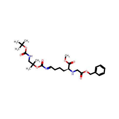 COC(=O)[C@H](CCCC=NC(=O)OC(C)(C)CNC(=O)OC(C)(C)C)NCC(=O)OCc1ccccc1